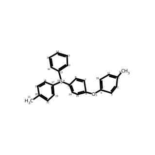 Cc1ccc(Oc2ccc([S+](c3ccccc3)c3ccc(C)cc3)cc2)cc1